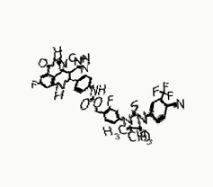 Cn1ncnc1C1c2n[nH]c(=O)c3cc(F)cc(c23)N[C@@H]1c1ccc(NC(=O)OCc2ccc(N3C(=S)N(c4ccc(C#N)c(C(F)(F)F)c4)C(=O)C3(C)C)cc2F)cc1